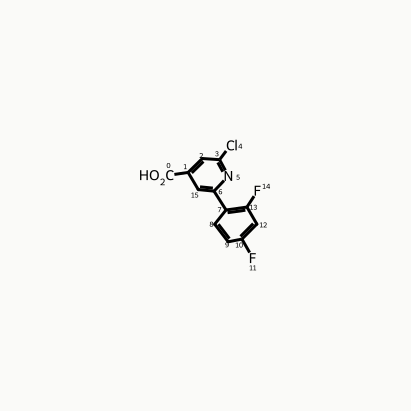 O=C(O)c1cc(Cl)nc(-c2ccc(F)cc2F)c1